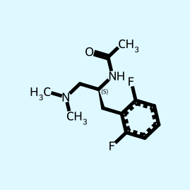 CC(=O)N[C@@H](Cc1c(F)cccc1F)CN(C)C